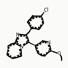 COc1ccc(-c2c(-c3ccc(Cl)cc3)nc3ccccn23)cn1